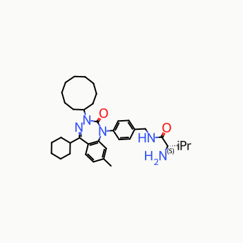 Cc1ccc2c(c1)N(c1ccc(CNC(=O)[C@@H](N)C(C)C)cc1)C(=O)N(C1CCCCCCCCC1)N=C2C1CCCCC1